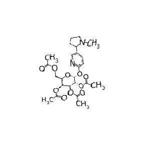 CC(=O)OC[C@H]1O[C@H](Oc2ccc(C3CCCN3C)cn2)[C@H](OC(C)=O)[C@@H](OC(C)=O)[C@H]1OC(C)=O